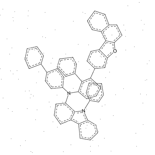 c1ccc(-c2ccc(N(c3cccc(-c4ccc5c(c4)oc4ccc6ccccc6c45)c3-c3ccccc3)c3cccc4c5ccccc5n(-c5ccccc5)c34)cc2)cc1